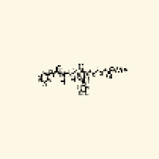 COC(=O)CCCCCNC(=O)[C@H](CCCNC(=O)OCc1ccccc1)NC(=O)C1CCCC1